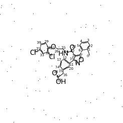 Cc1ccccc1-c1onc(-c2cccc(CC(=O)O)c2)c1C(=O)NCCOc1ccc(Cl)cc1Cl